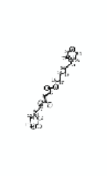 O=C(C=CC(=O)OCCN1CCOCC1)OCCCCCCN1CCOCC1